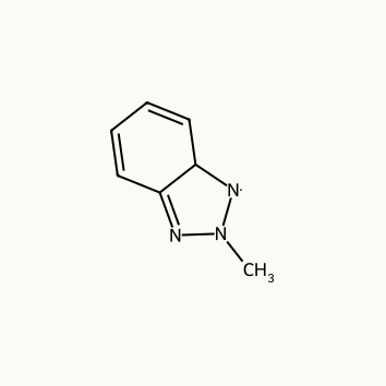 CN1[N]C2C=CC=CC2=N1